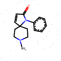 BN1CCC2(C=CC(=O)N2c2ccccc2)CC1